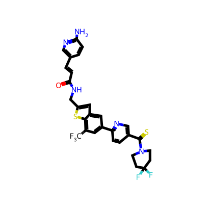 Nc1ccc(/C=C/C(=O)NCc2cc3cc(-c4ccc(C(=S)N5CCC(F)(F)CC5)cn4)cc(C(F)(F)F)c3s2)cn1